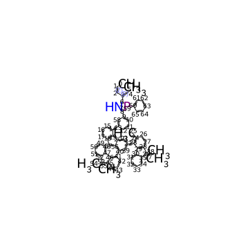 C/C=C\C(=C/C)C1NC(c2cccc(-c3cccc4c3-c3cc(-c5c(C)ccc6c5-c5ccccc5C6(C)C)cc(-c5cccc6c5-c5ccccc5C6(C)C)c3C4)c2)P1c1ccccc1